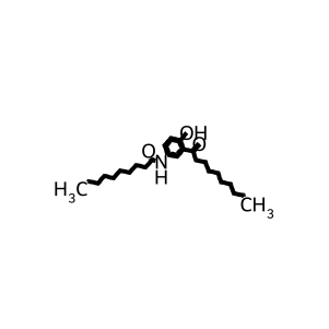 CCCCCCCCCC(=O)Nc1ccc(O)c(C(=O)CCCCCCCCC)c1